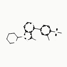 Cc1cc(-c2nccc3c2c(Br)nn3C2CCCCO2)ccc1S(C)(=O)=O